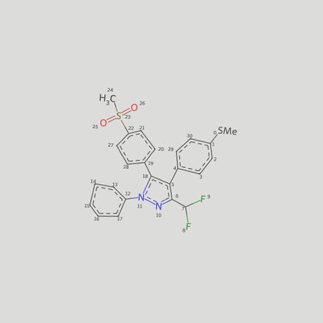 CSc1ccc(-c2c(C(F)F)nn(-c3ccccc3)c2-c2ccc(S(C)(=O)=O)cc2)cc1